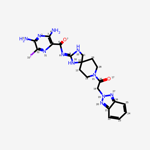 Nc1nc(N)c(C(=O)/N=C2\NCC3(CCN(C(=O)Cn4nc5ccccc5n4)CC3)N2)nc1I